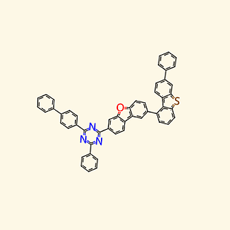 c1ccc(-c2ccc(-c3nc(-c4ccccc4)nc(-c4ccc5c(c4)oc4ccc(-c6cccc7sc8cc(-c9ccccc9)ccc8c67)cc45)n3)cc2)cc1